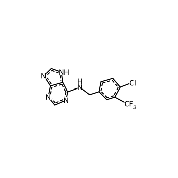 FC(F)(F)c1cc(CNc2ncnc3nc[nH]c23)ccc1Cl